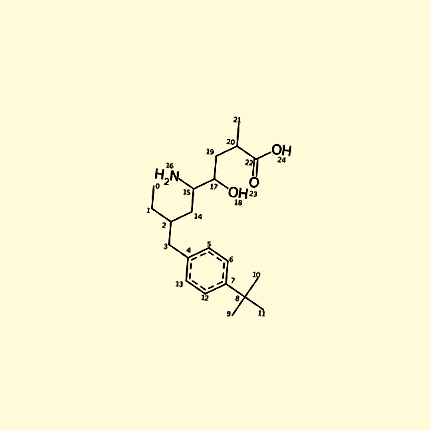 CCC(Cc1ccc(C(C)(C)C)cc1)CC(N)C(O)CC(C)C(=O)O